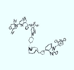 Cn1c(=O)n(C2CCC(=O)NC2=O)c2cccc(N3CC[C@@H](CN4CCN(C[C@H]5CC[C@H](n6cc(NC(=O)c7cnn8ccc(N9C[C@H]%10C[C@@H]9CO%10)nc78)c(C(F)F)n6)CC5)CC4)C3)c21